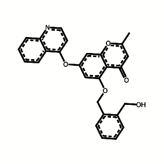 Cc1cc(=O)c2c(OCc3ccccc3CO)cc(Oc3ccnc4ccccc34)cc2o1